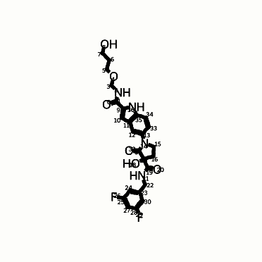 O=C(NCOCCCO)c1cc2cc(N3CCC(O)(C(=O)NCc4cc(F)cc(F)c4)C3=O)ccc2[nH]1